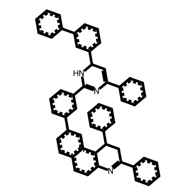 C1=C(c2ccccc2)N=C(c2cccc(-c3ccc4ccc5c(c4c3)C(c3ccccc3)CC(c3ccccc3)=N5)c2)NC1c1cccc(-c2ccccc2)c1